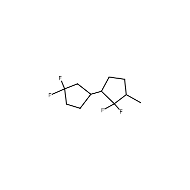 CC1CCC(C2CCC(F)(F)C2)C1(F)F